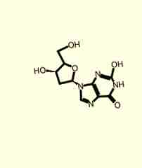 O=c1[nH]c(O)nc2c1ncn2[C@H]1C[C@@H](O)C(CO)O1